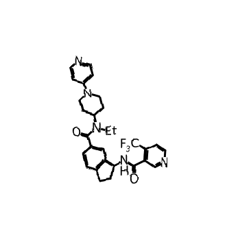 CCN(C(=O)c1ccc2c(c1)C(NC(=O)c1cnccc1C(F)(F)F)CC2)C1CCN(c2ccncc2)CC1